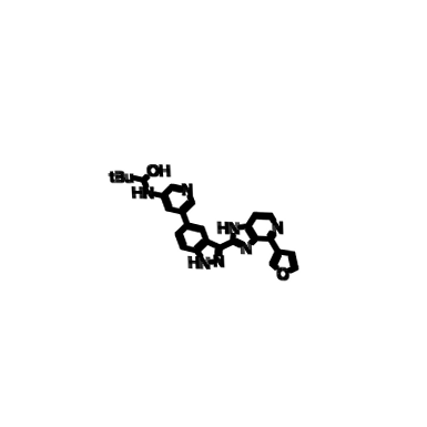 CC(C)(C)C(O)Nc1cncc(-c2ccc3[nH]nc(-c4nc5c(-c6ccoc6)nccc5[nH]4)c3c2)c1